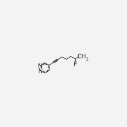 CC(F)CCCC#Cc1ccnnc1